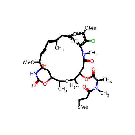 COc1cc2cc(c1Cl)N(C)C(=O)CC(OC(=O)C(C)N(C)C(=O)CCSC)C(C)CC(C)C1CC(O)(NC(=O)O1)C(OC)/C=C/C=C(\C)C2